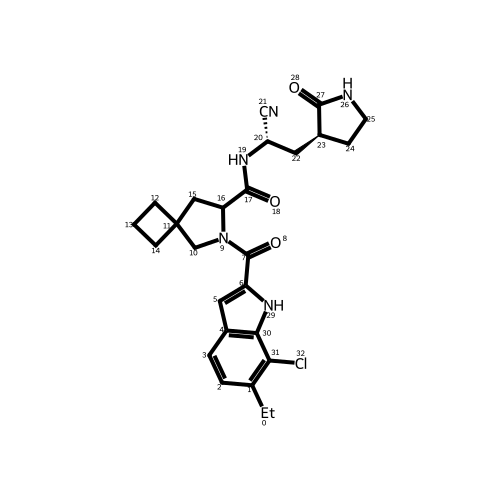 CCc1ccc2cc(C(=O)N3CC4(CCC4)CC3C(=O)N[C@H](C#N)C[C@@H]3CCNC3=O)[nH]c2c1Cl